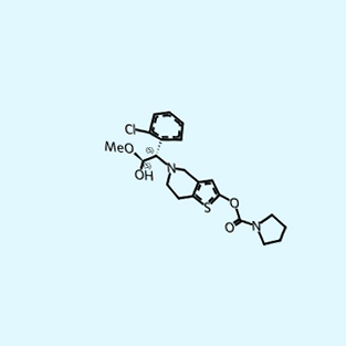 CO[C@H](O)[C@H](c1ccccc1Cl)N1CCc2sc(OC(=O)N3CCCC3)cc2C1